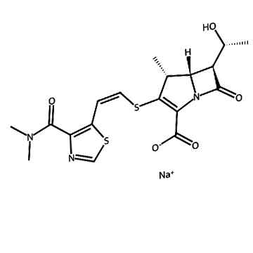 C[C@@H](O)[C@H]1C(=O)N2C(C(=O)[O-])=C(S/C=C\c3scnc3C(=O)N(C)C)[C@H](C)[C@H]12.[Na+]